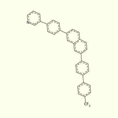 FC(F)(F)c1ccc(-c2ccc(-c3ccc4ccc(-c5ccc(-c6cccnc6)cc5)cc4c3)cc2)cc1